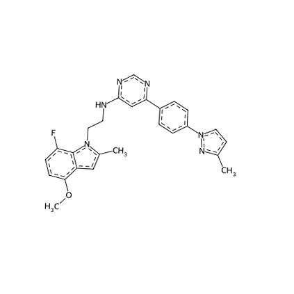 COc1ccc(F)c2c1cc(C)n2CCNc1cc(-c2ccc(-n3ccc(C)n3)cc2)ncn1